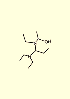 CCC(N(CC)CC)N(CC)C(C)O